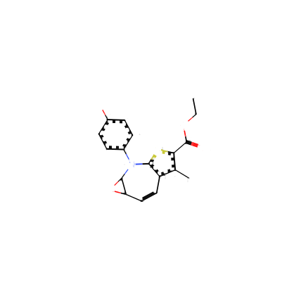 CCOC(=O)c1sc2c(c1C)C=CC1OC1N2c1ccc(O)cc1